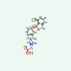 O=C(O)CN1CC2(Cc3ccc(OC4CCc5cccc(Cl)c54)cc3C2)C1